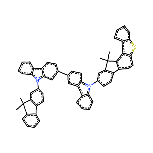 CC1(C)c2ccccc2-c2ccc(-n3c4ccccc4c4ccc(-c5ccc6c(c5)c5ccccc5n6-c5ccc6c(c5)C(C)(C)c5c-6ccc6sc7ccccc7c56)cc43)cc21